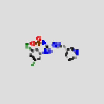 O=S1(=O)N=C(NCCc2cccnc2)Nc2cc(F)cc(F)c21